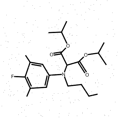 CCCCN(c1cc(C)c(F)c(C)c1)C(C(=O)OC(C)C)C(=O)OC(C)C